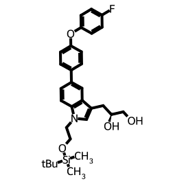 CC(C)(C)[Si](C)(C)OCCn1cc(C[C@H](O)CO)c2cc(-c3ccc(Oc4ccc(F)cc4)cc3)ccc21